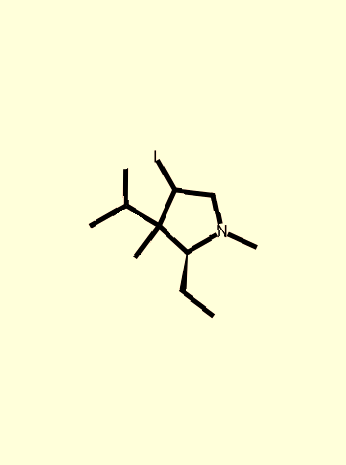 CC[C@@H]1N(C)CC(I)C1(C)C(C)C